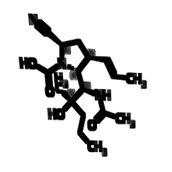 CC=C[C@@H]1C[C@H](C#N)N(C(=O)O)[C@H]1[C@@H](NC(C)=O)[C@@](C)(O)CCC